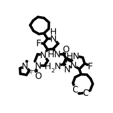 CN1CCC[C@H]1C(=O)N1CCN(C2C(NC(=O)c3c(N)nn4c3NCC(F)C4C3CCCCCCCCC3)CNC(C3CCCCCCCC3)C2F)CC1